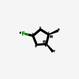 C[C@@H]1CC(F)C[C@@H]1C